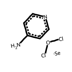 ClOCl.Nc1ccncc1.[Se]